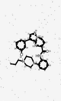 CCCN1CCN(c2ccccc2NC(=O)c2ccn3ncc(-c4cccc(Cl)c4)c3n2)CC1